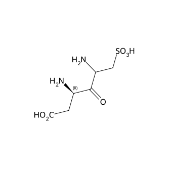 NC(CS(=O)(=O)O)C(=O)[C@H](N)CC(=O)O